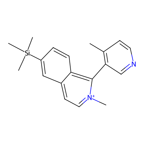 Cc1ccncc1-c1c2ccc([Si](C)(C)C)cc2cc[n+]1C